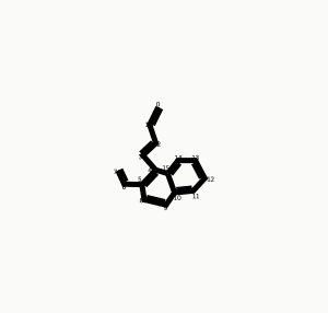 C=CC=Cc1c(C=C)ccc2ccccc12